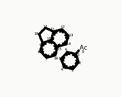 CC(=O)c1ccccc1.c1cc2c3c(cccc3c1)CC2